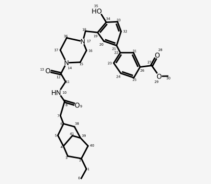 CCC1CC2CC(CC(=O)NCC(=O)N3CCN(Cc4cc(-c5cccc(C(=O)OC)c5)ccc4O)CC3)CC(C1)C2